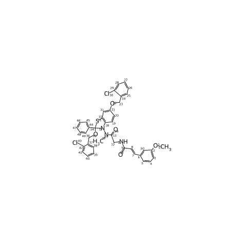 COc1cccc(/C=C/C(=O)NCC(=O)N(C)N2c3ccc(OCc4ccccc4Cl)cc3SC2(OCc2ccccc2Cl)c2ccccc2)c1